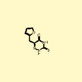 O=c1[nH]c(=S)[nH]nc1Cc1ccco1